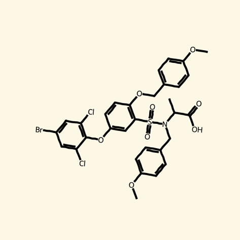 COc1ccc(COc2ccc(Oc3c(Cl)cc(Br)cc3Cl)cc2S(=O)(=O)N(Cc2ccc(OC)cc2)C(C)C(=O)O)cc1